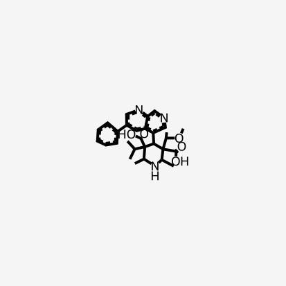 COC(C)C1(C(=O)O)C(C)NC(C)C(C(=O)O)(C(C)C)C1c1cncc2ncc(-c3ccccc3)cc12